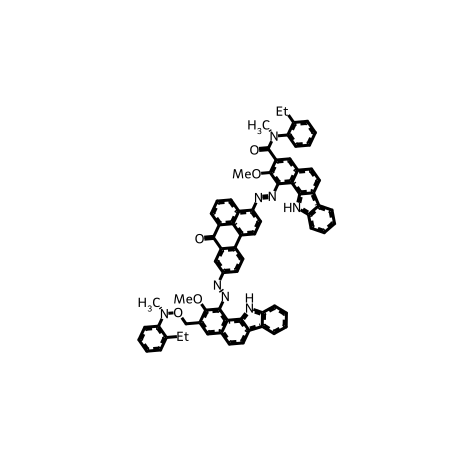 CCc1ccccc1N(C)OCc1cc2ccc3c4ccccc4[nH]c3c2c(N=Nc2ccc3c(c2)C(=O)c2cccc4c(N=Nc5c(OC)c(C(=O)N(C)c6ccccc6CC)cc6ccc7c8ccccc8[nH]c7c56)ccc-3c24)c1OC